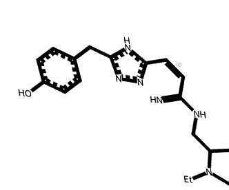 CCN1CCCC1CNC(=N)/C=C\c1nnc(Cc2ccc(O)cc2)[nH]1